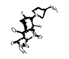 CCn1c2s[nH]c(=O)c2c(=O)c2cc(F)c(N3CCC(N)C3)c(F)c21